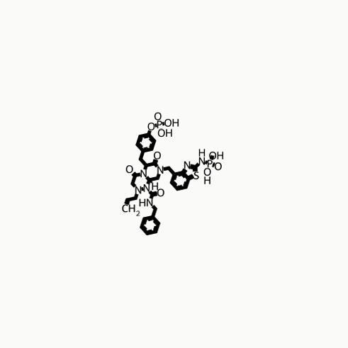 C=CCN1CC(=O)N2C(Cc3ccc(OP(=O)(O)O)cc3)C(=O)N(Cc3cccc4sc(NP(=O)(O)O)nc34)C[C@@H]2N1C(=O)NCc1ccccc1